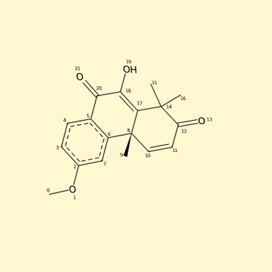 COc1ccc2c(c1)[C@@]1(C)C=CC(=O)C(C)(C)C1=C(O)C2=O